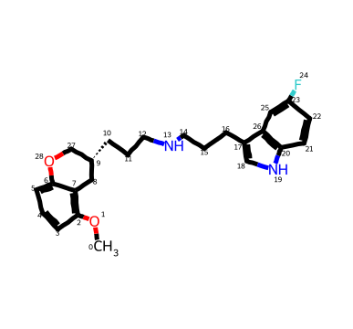 COc1cccc2c1C[C@@H](CCCNCCCc1c[nH]c3ccc(F)cc13)CO2